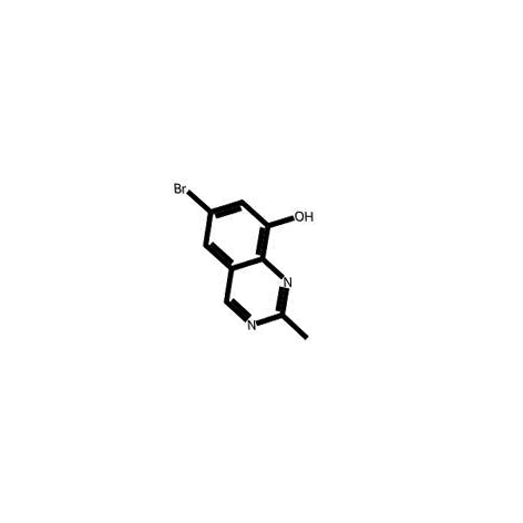 Cc1ncc2cc(Br)cc(O)c2n1